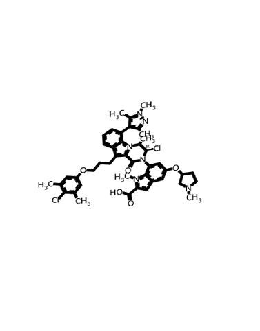 Cc1cc(OCCCc2c3n(c4c(-c5c(C)nn(C)c5C)cccc24)C(C)[C@@H](Cl)N(c2cc(OC4CCN(C)C4)cc4cc(C(=O)O)n(C)c24)C3=O)cc(C)c1Cl